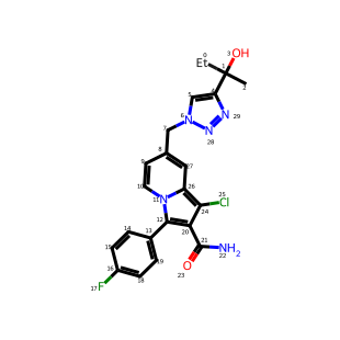 CCC(C)(O)c1cn(Cc2ccn3c(-c4ccc(F)cc4)c(C(N)=O)c(Cl)c3c2)nn1